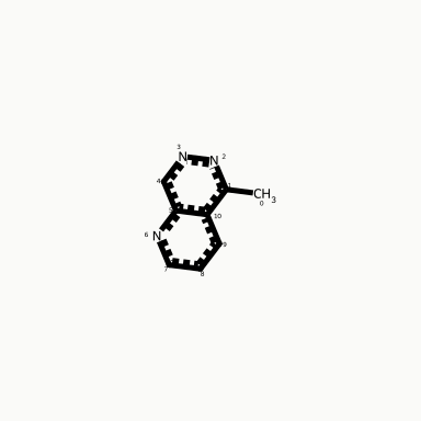 Cc1nncc2ncccc12